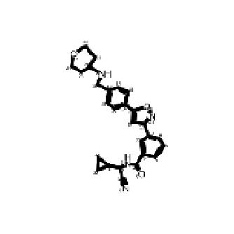 N#CC(NC(=O)c1cccc(-c2cc(-c3ccc(CNC4CCOCC4)cc3)on2)c1)C1CC1